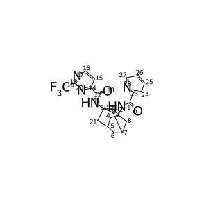 O=C(NC12CC3CC(C1)CC(NC(=O)c1ccnc(C(F)(F)F)n1)(C3)C2)c1ccccn1